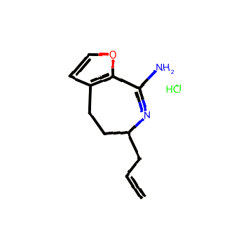 C=CCC1CCc2ccoc2C(N)=N1.Cl